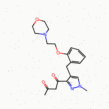 CC(=O)CC(=O)c1nn(C)cc1Cc1ccccc1OCCN1CCOCC1